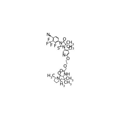 CC1CCCN1C(=O)C(NC(=O)COCCOc1cc(Cl)c(N2C(=S)N(c3ccc(C#N)c(C(F)(F)F)c3F)C(=O)C2(C)C)cn1)C(C)(C)C